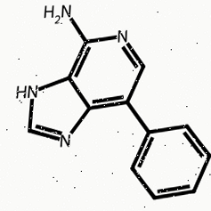 Nc1ncc(-c2ccccc2)c2nc[nH]c12